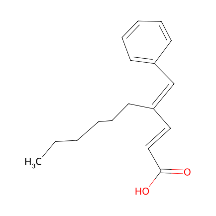 CCCCCCC(/C=C/C(=O)O)=C\c1ccccc1